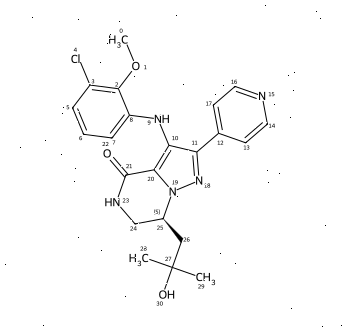 COc1c(Cl)cccc1Nc1c(-c2ccncc2)nn2c1C(=O)NC[C@@H]2CC(C)(C)O